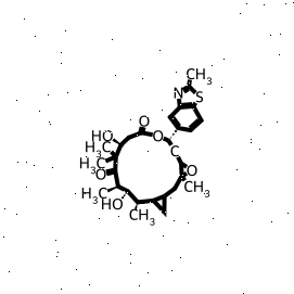 Cc1nc2cc([C@@H]3CC4OC4(C)CC4CC4[C@H](C)[C@H](O)[C@@H](C)C(=O)C(C)(C)[C@@H](O)CC(=O)O3)ccc2s1